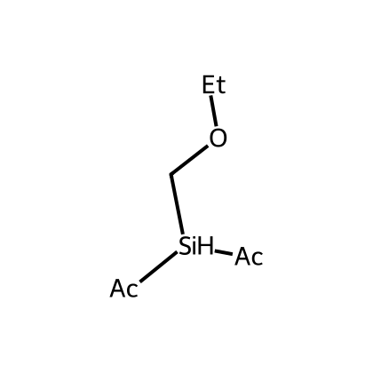 CCOC[SiH](C(C)=O)C(C)=O